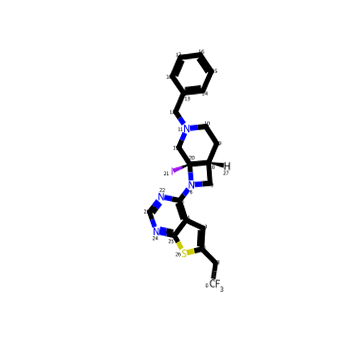 FC(F)(F)Cc1cc2c(N3C[C@H]4CCN(Cc5ccccc5)C[C@]43I)ncnc2s1